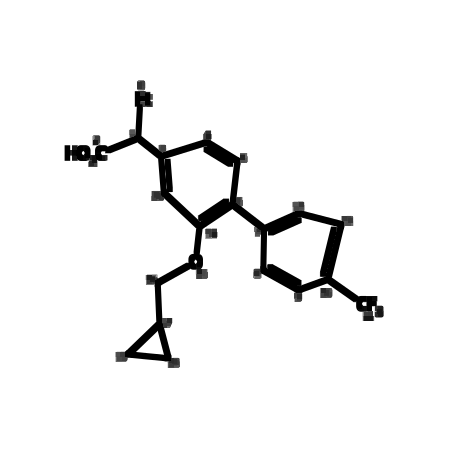 CCC(C(=O)O)c1ccc(-c2ccc(C(F)(F)F)cc2)c(OCC2CC2)c1